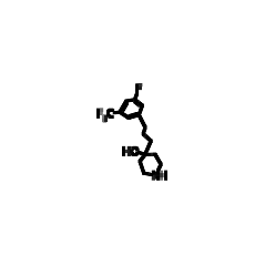 OC1(CCCc2cc(F)cc(C(F)(F)F)c2)CCNCC1